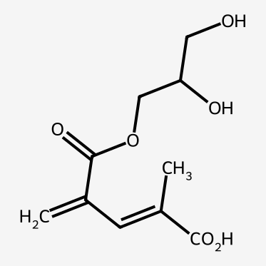 C=C(C=C(C)C(=O)O)C(=O)OCC(O)CO